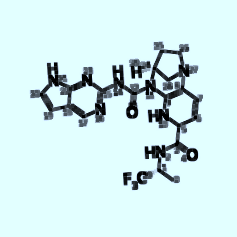 C[C@@H](NC(=O)C1C=CC2=C(N1)N(C(=O)Nc1ncc3cc[nH]c3n1)[C@H]1CCN2C1)C(F)(F)F